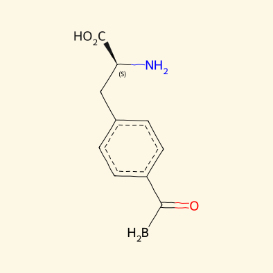 BC(=O)c1ccc(C[C@H](N)C(=O)O)cc1